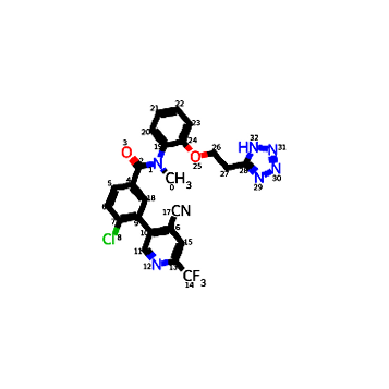 CN(C(=O)c1ccc(Cl)c(-c2cnc(C(F)(F)F)cc2C#N)c1)c1ccccc1OCCc1nnn[nH]1